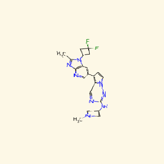 Cc1nc2ncc(-c3ccn4nc(NC5CN(C)C5)ncc34)cc2n1C1CC(F)(F)C1